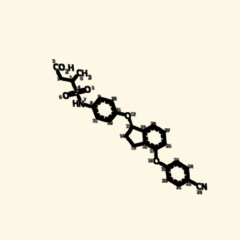 CC(CC(=O)O)S(=O)(=O)Nc1ccc(O[C@@H]2CCc3c(Oc4ccc(C#N)cc4)cccc32)cc1